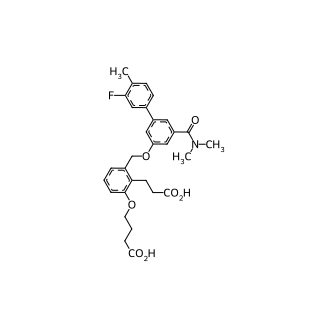 Cc1ccc(-c2cc(OCc3cccc(OCCCC(=O)O)c3CCC(=O)O)cc(C(=O)N(C)C)c2)cc1F